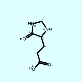 O=C(O)CCC1NCNC1=O